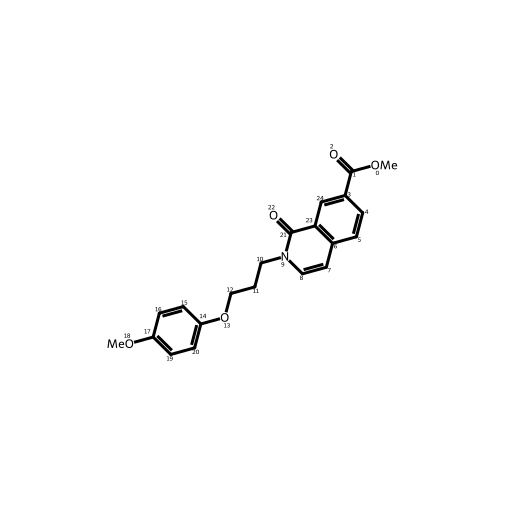 COC(=O)c1ccc2ccn(CCCOc3ccc(OC)cc3)c(=O)c2c1